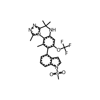 Cc1c(-c2cccc3c2ccn3S(C)(=O)=O)c(OC(F)(F)F)cc2c1-n1c(C)nnc1C(C)(C)N2